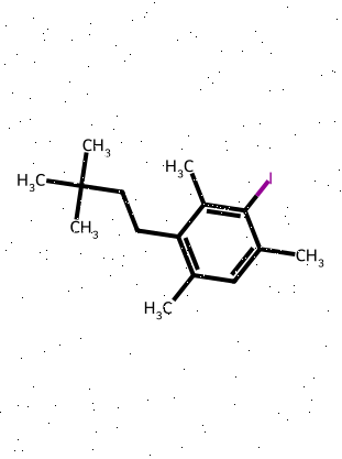 Cc1cc(C)c(CCC(C)(C)C)c(C)c1I